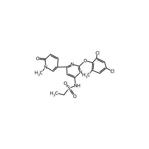 CCS(=O)(=O)Nc1cc(-c2ccc(=O)n(C)c2)nc(Oc2c(C)cc(Cl)cc2Cl)n1